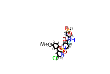 COc1cccc(-c2cc(Cl)cnc2S(=O)(=O)N2CCC(F)(C(=O)N[C@@H](C)/C=C\S(C)(=O)=O)CC2)c1